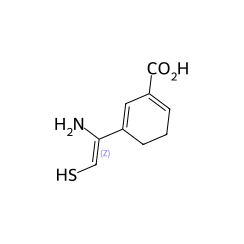 N/C(=C\S)C1=CC(C(=O)O)=CCC1